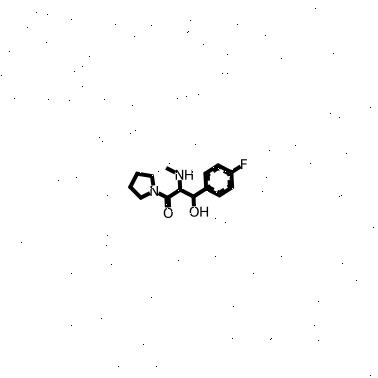 CNC(C(=O)N1CCCC1)C(O)c1ccc(F)cc1